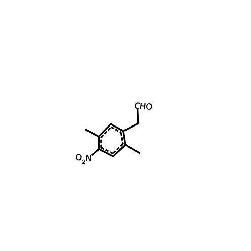 Cc1cc([N+](=O)[O-])c(C)cc1CC=O